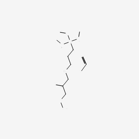 C=CC.CCCCCOCC(O)CNCCC[Si](OCC)(OCC)OCC